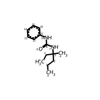 CCCC(C)(CC)NC(=O)Nc1ccccc1